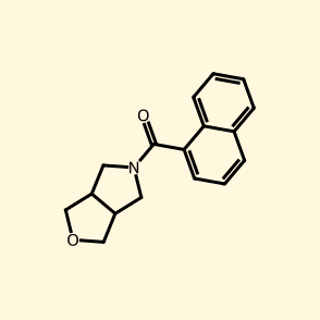 O=C(c1cccc2ccccc12)N1CC2COCC2C1